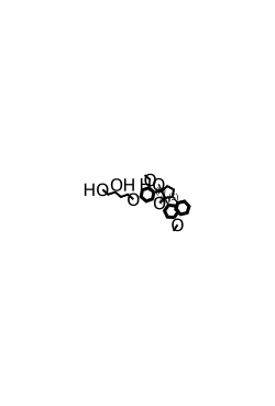 COc1ccc([C@@]23Oc4cc(OCCC(O)CO)cc(OC)c4[C@]2(O)CC[C@H]3c2ccccc2)cc1